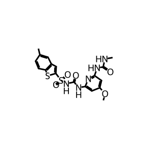 CNC(=O)Nc1cc(OC)cc(NC(=O)NS(=O)(=O)c2cc3cc(C)ccc3s2)n1